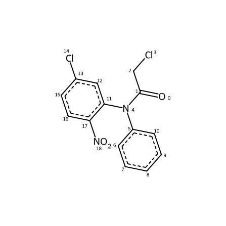 O=C(CCl)N(c1ccccc1)c1cc(Cl)ccc1[N+](=O)[O-]